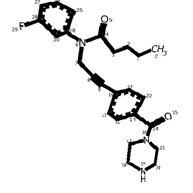 CCCCC(=O)N(CC#Cc1ccc(C(=O)N2CCNCC2)cc1)c1cccc(F)c1